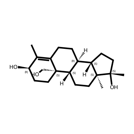 CC1=C2CC[C@@H]3[C@H](CC[C@@]4(C)[C@H]3CC[C@]4(C)O)[C@@]2(CO)CC[C@H]1O